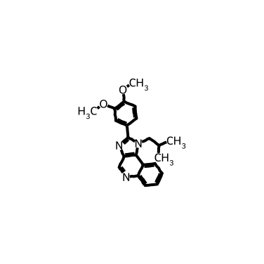 COc1ccc(-c2nc3cnc4ccccc4c3n2CC(C)C)cc1OC